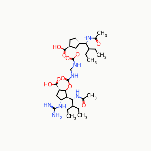 CCC(CC)[C@@H](NC(C)=O)[C@H]1CC[C@H](C(=O)O)[C@H]1OC(=O)NCNC(=O)O[C@H]1[C@@H]([C@H](NC(C)=O)C(CC)CC)[C@H](NC(=N)N)C[C@@H]1C(=O)O